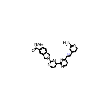 CNC(=O)c1ccc2c(c1)CN(c1nccc(-c3nccc(/C=C/c4ccnc(N)c4)n3)n1)C2